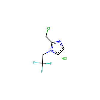 Cl.FC(F)(F)Cn1ccnc1CCl